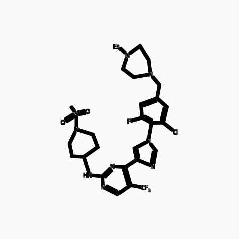 CCN1CCN(Cc2cc(F)c(-n3cnc(-c4nc(NC5CCN(S(C)(=O)=O)CC5)ncc4C(F)(F)F)c3)c(Cl)c2)CC1